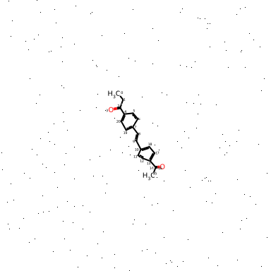 CCC(=O)c1ccc(/C=C/c2ccc(C(C)=O)cc2)cc1